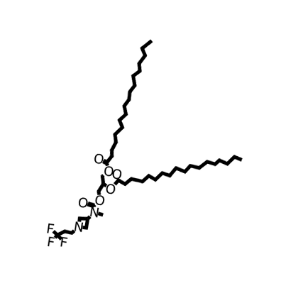 CCCCCCCCCCCCCCCCCC(=O)OCC(COC(=O)N(C)C1CN(CCC(F)(F)F)C1)OC(=O)CCCCCCCCCCCCCCCCC